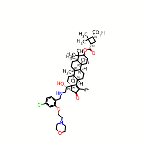 CC(C)C1=C2[C@H]3CC[C@@H]4[C@@]5(C)CC[C@H](OC(=O)[C@H]6C[C@@H](C(=O)O)C6(C)C)C(C)(C)[C@]5(C)CC[C@@]4(C)[C@]3(C)CC[C@@]2([C@@H](O)CNCc2ccc(Cl)cc2OCCN2CCOCC2)CC1=O